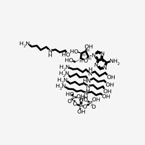 NCCCCNCCCO.NCCCCNCCCO.NCCCCNCCCO.NCCCCNCCCO.NCCCCNCCCO.Nc1ncnc2c1ncn2[C@@H]1O[C@H](CO)[C@@H](O)[C@H]1O.O=P(O)(O)OP(=O)(O)OP(=O)(O)O